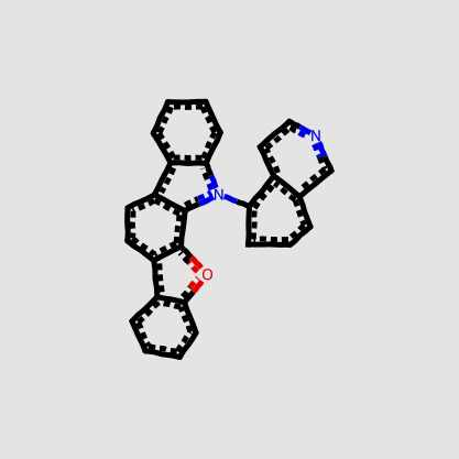 c1cc(-n2c3ccccc3c3ccc4c5ccccc5oc4c32)c2ccncc2c1